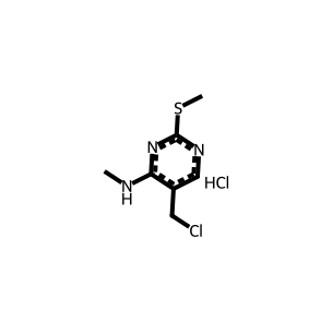 CNc1nc(SC)ncc1CCl.Cl